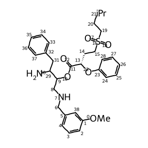 COc1cccc(CNCC(OC(=O)[C@H](CCS(=O)(=O)CCC(C)C)Oc2ccccc2)C(N)Cc2ccccc2)c1